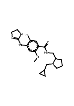 COc1cc(NC2=NCCN2)c(Cl)cc1C(=O)NCC1CCCN1CC1CC1